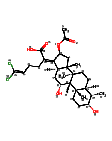 CC(=O)O[C@H]1C[C@@]2(C)[C@@H](C[C@@H](O)[C@H]3[C@@]4(C)CC[C@@H](O)[C@@H](C)[C@@H]4CC[C@@]32C)/C1=C(\CCC=C(Cl)Cl)C(=O)O